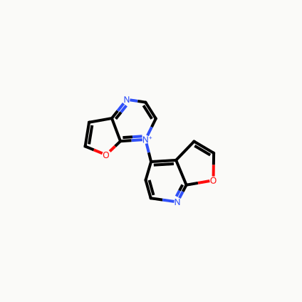 c1c[n+](-c2ccnc3occc23)c2occc2n1